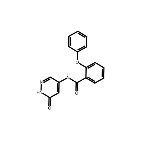 O=C(Nc1cn[nH]c(=O)c1)c1ccccc1Oc1ccccc1